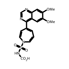 COc1cc2ncnc(C3=CC=CN(S(=O)(=O)NC(=O)O)C=C3)c2cc1OC